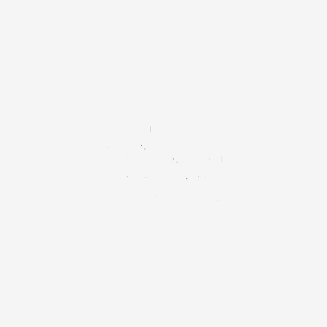 CN1C(=O)Cc2ccc(B(O)O)nc21